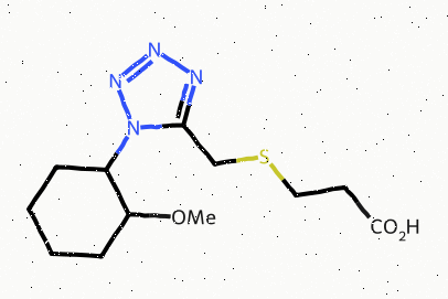 COC1CCCCC1n1nnnc1CSCCC(=O)O